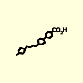 Cc1ccc(CCCCc2ccc(-c3ccc(C(=O)O)cc3)cc2)cc1